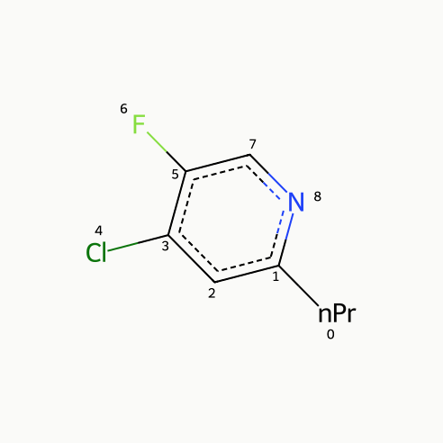 CCCc1cc(Cl)c(F)cn1